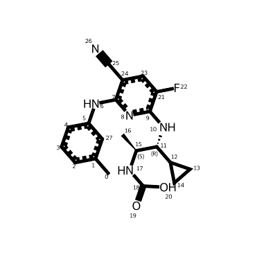 Cc1cccc(Nc2nc(N[C@H](C3CC3)[C@H](C)NC(=O)O)c(F)cc2C#N)c1